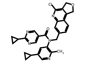 Cc1ncc(C2CC2)cc1N(Cc1ccc2c3c(c(Cl)nc2c1)COC3)C(=O)c1cnc(C2CC2)nc1